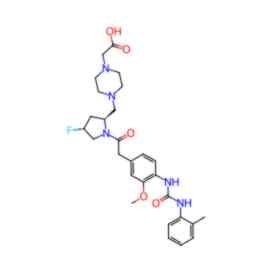 COc1cc(CC(=O)N2C[C@@H](F)C[C@H]2CN2CCN(CC(=O)O)CC2)ccc1NC(=O)Nc1ccccc1C